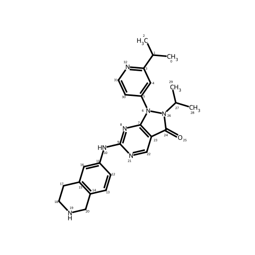 CC(C)c1cc(-n2c3nc(Nc4ccc5c(c4)CCNC5)ncc3c(=O)n2C(C)C)ccn1